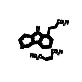 O=C(O)/C=C\C(=O)O.O=C(O)CCc1cccc2c1[nH]c1ccncc12